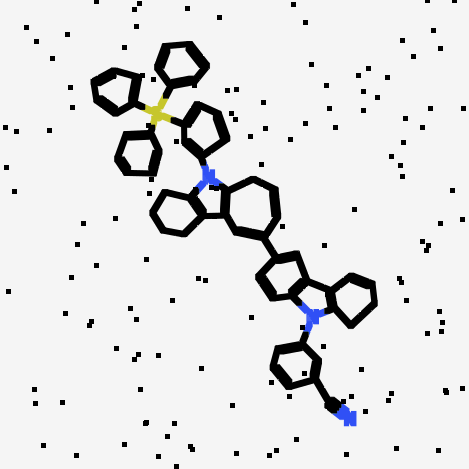 N#Cc1cccc(-n2c3c(c4cc(C5=Cc6c7c(n(-c8cccc(S(c9ccccc9)(c9ccccc9)c9ccccc9)c8)c6CC=C5)CCCC7)ccc42)C=CCC3)c1